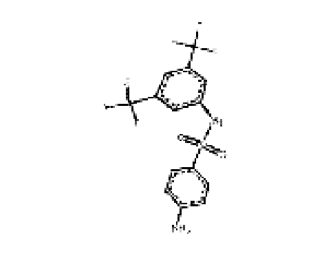 Nc1ccc(S(=O)(=O)Nc2cc(C(F)(F)F)cc(C(F)(F)F)c2)cc1